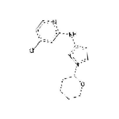 Clc1ccnc(Nc2ccn(C3CCCCO3)n2)c1